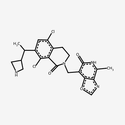 Cc1[nH]c(=O)c(CN2CCc3c(Cl)cc(C(C)C4CNC4)c(Cl)c3C2=O)c2ocnc12